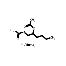 C=C.CCCCC(COC(C)=O)OC(C)=O